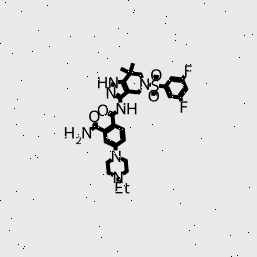 CCN1CCN(c2ccc(C(=O)Nc3n[nH]c4c3CN(S(=O)(=O)c3cc(F)cc(F)c3)CC4(C)C)c(C(N)=O)c2)CC1